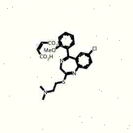 COc1ccccc1C1=NCC(SCCN(C)C)=Nc2ccc(Cl)cc21.O=C(O)/C=C\C(=O)O